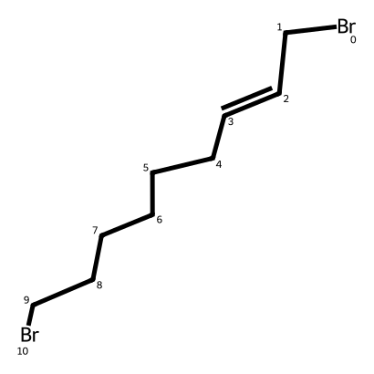 BrCC=CCCCCCCBr